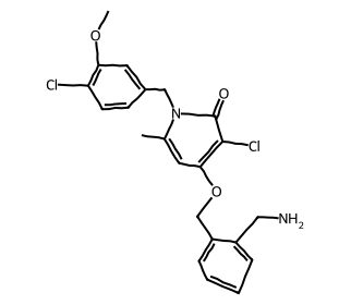 COc1cc(Cn2c(C)cc(OCc3ccccc3CN)c(Cl)c2=O)ccc1Cl